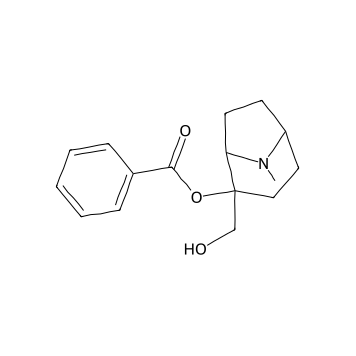 CN1C2CCC1C(CO)(OC(=O)c1ccccc1)CC2